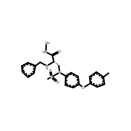 Cc1ccc(Oc2ccc(N(C[C@H](NCc3ccccc3)C(=O)NO)S(C)(=O)=O)cc2)cc1